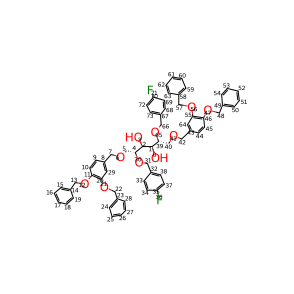 O[C@@H]([C@H](O)[C@@H](COCc1ccc(OCc2ccccc2)c(OCc2ccccc2)c1)OCc1ccc(F)cc1)[C@@H](COCc1ccc(OCc2ccccc2)c(OCc2ccccc2)c1)OCc1ccc(F)cc1